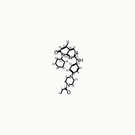 CCC(=O)N1CCN(c2ccc(Nc3ncc4c(C)cc(=O)n(C5CCCCC5)c4n3)cc2)CC1